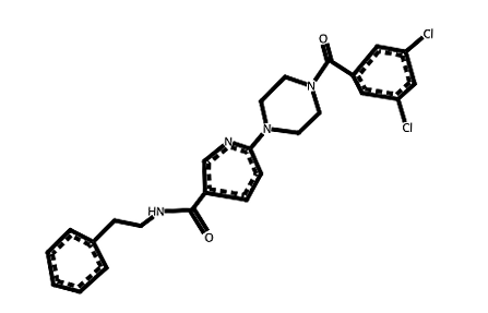 O=C(NCCc1ccccc1)c1ccc(N2CCN(C(=O)c3cc(Cl)cc(Cl)c3)CC2)nc1